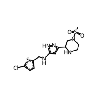 CS(=O)(=O)N1CCNC(c2cc(NCc3ccc(Cl)s3)[nH]n2)C1